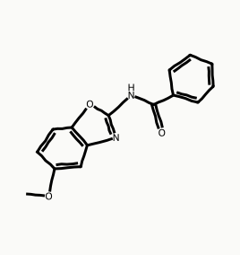 COc1ccc2oc(NC(=O)c3ccccc3)nc2c1